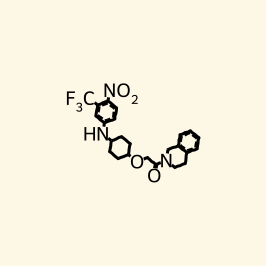 O=C(COC1CCC(Nc2ccc([N+](=O)[O-])c(C(F)(F)F)c2)CC1)N1CCc2ccccc2C1